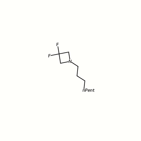 CCCCCCCCN1CC(F)(F)C1